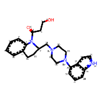 O=C(CCO)N1c2ccccc2CCC1CN1CCN(c2cccc3[nH]ccc23)CC1